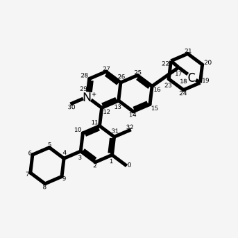 Cc1cc(C2CCCCC2)cc(-c2c3ccc(C4CC5CCC4CC5)cc3cc[n+]2C)c1C